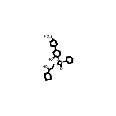 O=C1[C@H](CCC(O)c2ccccc2)[C@@H](c2ccc(-c3ccc(S(=O)(=O)O)cc3)cc2O)N1c1ccccc1